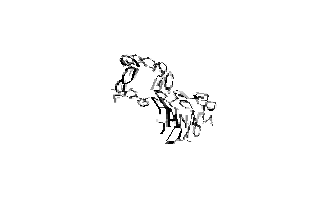 CC[C@H](C)[C@@H]([C@@H](CC(=O)N1C[C@@H](OC(=O)Oc2ccc([N+](=O)[O-])cc2)C[C@H]1[C@H](OC)[C@@H](C)C(=O)NCC(=O)c1ccc(OC)c(F)c1)OC)N(C)C(=O)[C@@H](NC(=O)[C@H](C(C)C)N(C)C)C(C)C